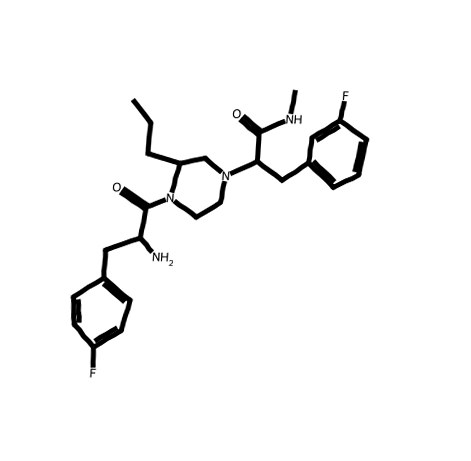 CCCC1CN(C(Cc2cccc(F)c2)C(=O)NC)CCN1C(=O)C(N)Cc1ccc(F)cc1